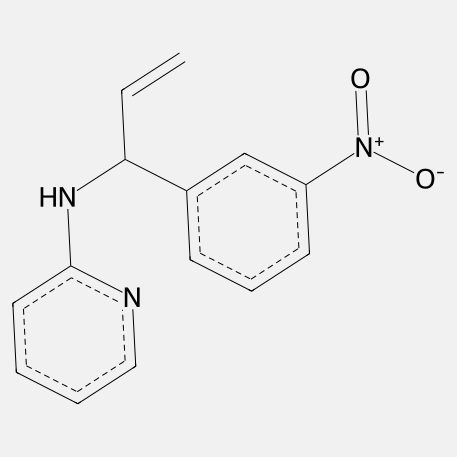 C=CC(Nc1ccccn1)c1cccc([N+](=O)[O-])c1